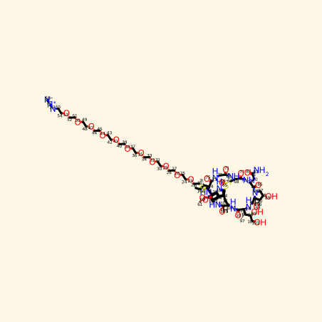 CC[C@H](C)[C@@H]1NC(=O)CNC(=O)[C@@H]2Cc3c([nH]c4c(CSCCOCCOCCOCCOCCOCCOCCOCCOCCOCCOCCOCCN=[N+]=[N-])c(OC)ccc34)[S+]([O-])CC(NC(=O)CNC1=O)C(=O)N[C@@H](CC(N)=O)C(=O)N1C[C@H](O)C[C@H]1C(=O)N[C@@H]([C@@H](C)[C@@H](O)CO)C(=O)N2